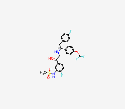 CS(=O)(=O)Nc1cc([C@@H](O)CN[C@@H](Cc2ccc(F)cc2)c2ccc(OC(F)F)cc2)ccc1F